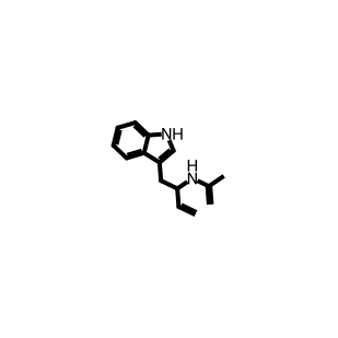 C=CC(Cc1c[nH]c2ccccc12)NC(=C)C